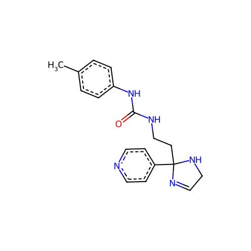 Cc1ccc(NC(=O)NCCC2(c3ccncc3)N=CCN2)cc1